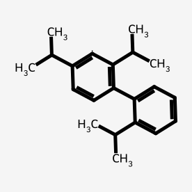 CC(C)c1[c]c(C(C)C)c(-c2ccccc2C(C)C)cc1